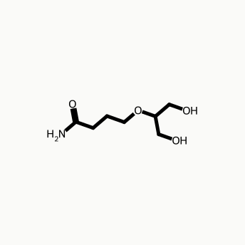 NC(=O)CCCOC(CO)CO